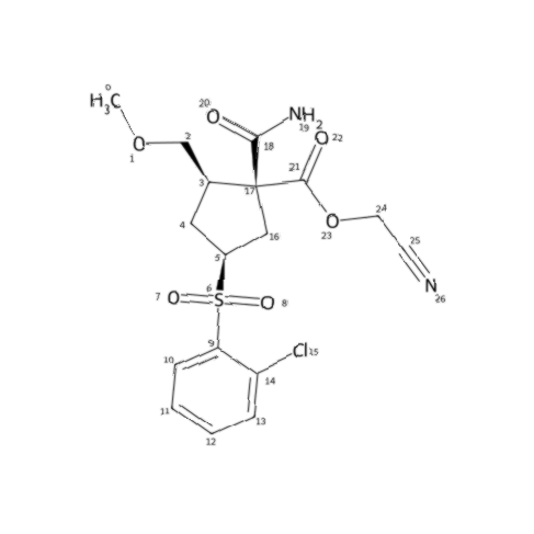 COC[C@@H]1C[C@H](S(=O)(=O)c2ccccc2Cl)C[C@@]1(C(N)=O)C(=O)OCC#N